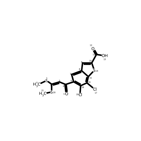 CSC(=CC(=O)c1cc2cc(C(=O)O)sc2c(Cl)c1Cl)SC